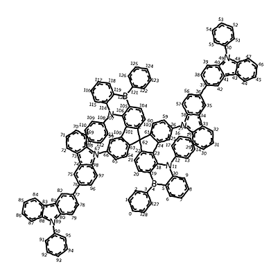 c1ccc(B2c3ccccc3N(c3ccccc3)c3c2ccc2c3-c3cc(-n4c5ccccc5c5cc(-c6ccc7c(c6)c6ccccc6n7-c6ccccc6)ccc54)ccc3C23c2ccc(-n4c5ccccc5c5cc(-c6ccc7c(c6)c6ccccc6n7-c6ccccc6)ccc54)cc2-c2c3ccc3c2N(c2ccccc2)c2ccccc2B3c2ccccc2)cc1